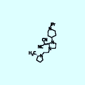 CC(C)N1CCC(N2CCN(CCN3CCC[C@@H]3C)C2=C(C#N)C#N)CC1